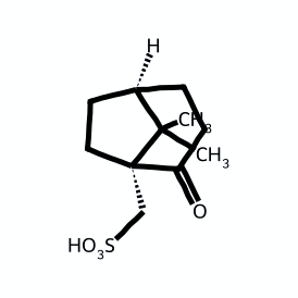 CC1(C)[C@@H]2CCC(=O)[C@@]1(CS(=O)(=O)O)CC2